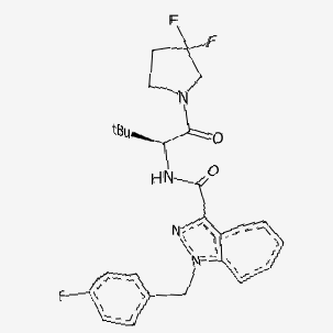 CC(C)(C)[C@H](NC(=O)c1nn(Cc2ccc(F)cc2)c2ccccc12)C(=O)N1CCC(F)(F)C1